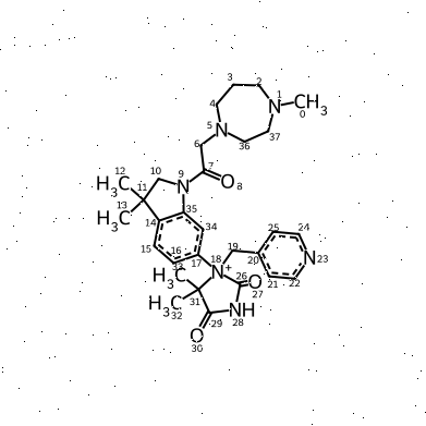 CN1CCCN(CC(=O)N2CC(C)(C)c3ccc([N+]4(Cc5ccncc5)C(=O)NC(=O)C4(C)C)cc32)CC1